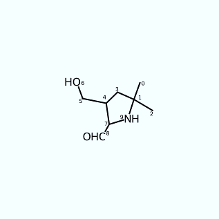 CC1(C)CC(CO)C(C=O)N1